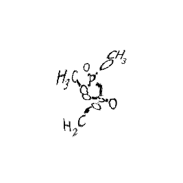 C=COS(=O)(=O)CP(=O)(OC)OC